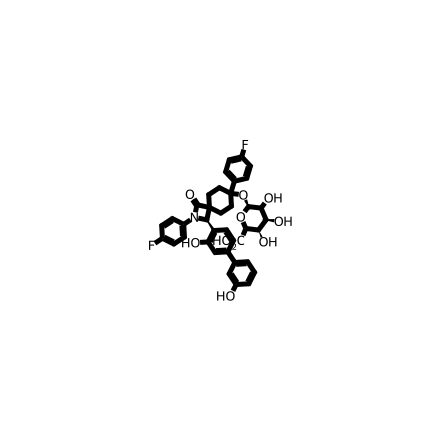 O=C(O)C1O[C@@H](OC2(c3ccc(F)cc3)CCC3(CC2)C(=O)N(c2ccc(F)cc2)[C@@H]3c2ccc(-c3cccc(O)c3)cc2O)C(O)[C@@H](O)[C@@H]1O